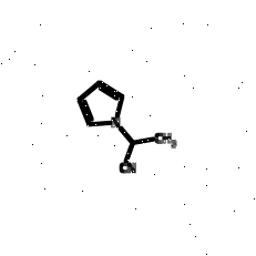 CC(C#N)n1cccc1